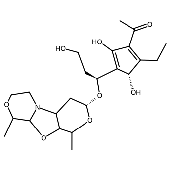 CCC1=C(C(C)=O)C(O)=C([C@H](CCO)O[C@H]2CC3C(OC4C(C)OCCN34)C(C)O2)[C@H]1O